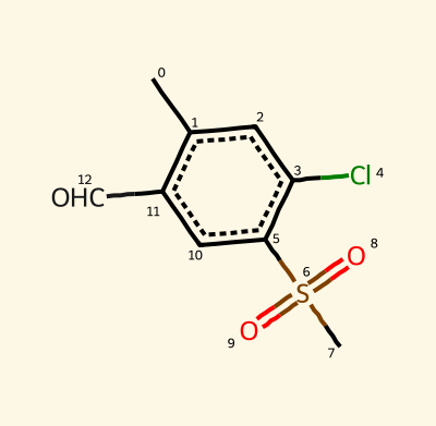 Cc1cc(Cl)c(S(C)(=O)=O)cc1C=O